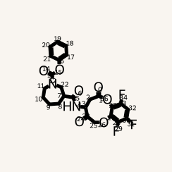 O=C1CC(NC(=O)C2CCCCN(C(=O)Oc3ccccc3)C2)C(=O)COc2c(F)c(F)cc(F)c2O1